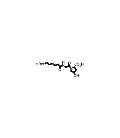 CCCCCCCCCCCCCCCC(=O)NCC(=O)N1CC(O)C[C@H]1C(=O)O